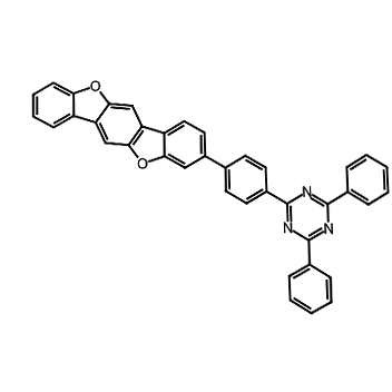 c1ccc(-c2nc(-c3ccccc3)nc(-c3ccc(-c4ccc5c(c4)oc4cc6c(cc45)oc4ccccc46)cc3)n2)cc1